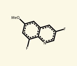 COc1cc(F)c2ncc(F)cc2c1